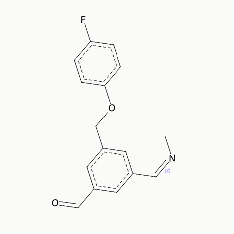 C/N=C\c1cc(C=O)cc(COc2ccc(F)cc2)c1